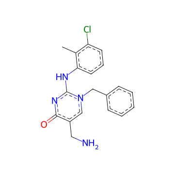 Cc1c(Cl)cccc1Nc1nc(=O)c(CN)cn1Cc1ccccc1